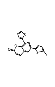 Cc1ccc(-c2cc(-c3cccs3)c3oc(=O)ccc3c2)s1